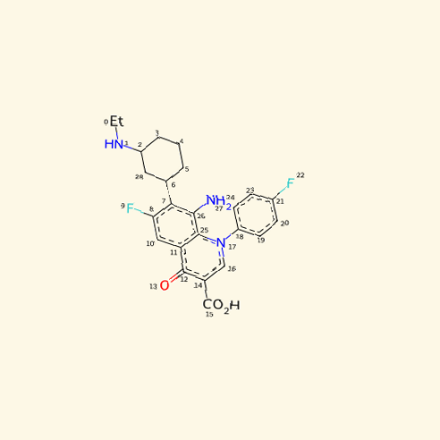 CCNC1CCCC(c2c(F)cc3c(=O)c(C(=O)O)cn(-c4ccc(F)cc4)c3c2N)C1